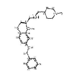 CN1CCC(CNC[C@@H]2COc3ccc(OCc4ccccc4)cc3O2)CC1